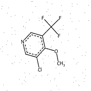 COc1c(Cl)cncc1C(F)(F)F